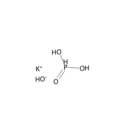 O=[PH](O)O.[K+].[OH-]